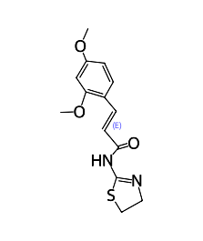 COc1ccc(/C=C/C(=O)NC2=NCCS2)c(OC)c1